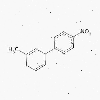 CC1=CC(c2ccc([N+](=O)[O-])cc2)C=CC1